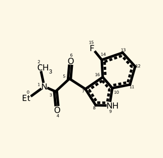 CCN(C)C(=O)C(=O)c1c[nH]c2cccc(F)c12